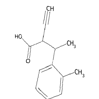 C#CC(C(=O)O)C(C)c1ccccc1C